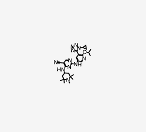 CC(C)Oc1ncc(Nc2ncc(C#N)c(NC3CC(C)(C)N(C)C(C)(C)C3)n2)cc1-c1nnnn1C1CC1